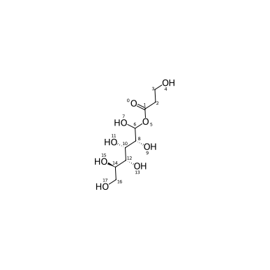 O=C(CCO)OC(O)[C@H](O)[C@@H](O)[C@H](O)[C@H](O)CO